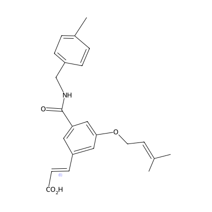 CC(C)=CCOc1cc(/C=C/C(=O)O)cc(C(=O)NCc2ccc(C)cc2)c1